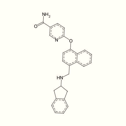 NC(=O)c1ccc(Oc2ccc(CNC3Cc4ccccc4C3)c3ccccc23)nc1